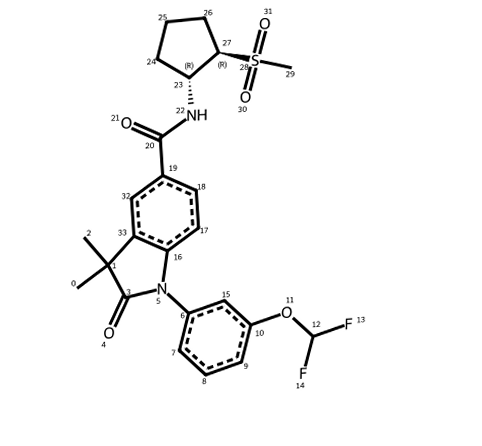 CC1(C)C(=O)N(c2cccc(OC(F)F)c2)c2ccc(C(=O)N[C@@H]3CCC[C@H]3S(C)(=O)=O)cc21